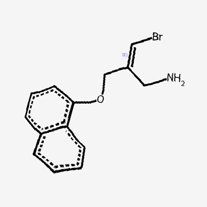 NC/C(=C\Br)COc1cccc2ccccc12